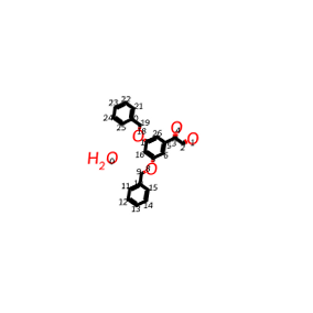 O.O=CC(=O)c1cc(OCc2ccccc2)cc(OCc2ccccc2)c1